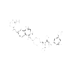 O=C1CN(c2cncc(C(F)(F)F)c2)C(=O)N1[C@H]1CC[C@H](Oc2ncnc3cc(OC4CCNC4)ccc23)CC1